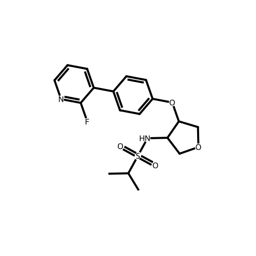 CC(C)S(=O)(=O)NC1COCC1Oc1ccc(-c2cccnc2F)cc1